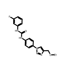 CCOCc1cn(-c2ccc(NC(=O)Nc3cccc(F)c3)cc2)nn1